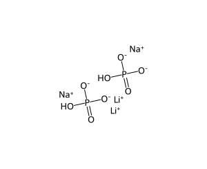 O=P([O-])([O-])O.O=P([O-])([O-])O.[Li+].[Li+].[Na+].[Na+]